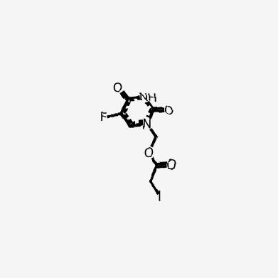 O=C(CI)OCn1cc(F)c(=O)[nH]c1=O